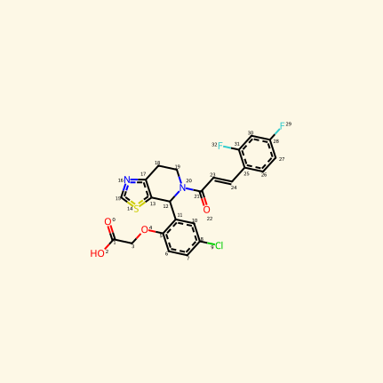 O=C(O)COc1ccc(Cl)cc1C1c2scnc2CCN1C(=O)C=Cc1ccc(F)cc1F